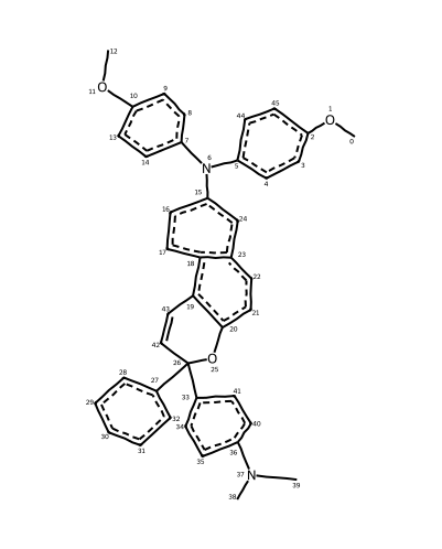 COc1ccc(N(c2ccc(OC)cc2)c2ccc3c4c(ccc3c2)OC(c2ccccc2)(c2ccc(N(C)C)cc2)C=C4)cc1